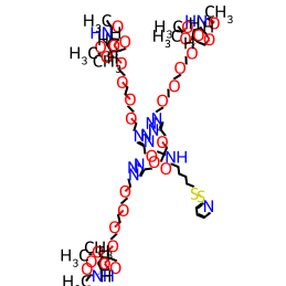 CC(=O)N[C@H]1[C@@H]2OC[C@](COCCOCCOCCOCCn3cc(COCC(COCc4cn(CCOCCOCCOCCOC[C@@]56CO[C@H](O5)[C@H](NC(C)=O)C5OC(C)(C)O[C@H]56)nn4)(COCc4cn(CCOCCOCCOCCOC[C@@]56CO[C@H](O5)[C@H](NC(C)=O)[C@H]5OC(C)(C)O[C@H]56)nn4)NC(=O)CCCCCSSc4ccccn4)nn3)(O2)[C@@H]2OC(C)(C)O[C@H]12